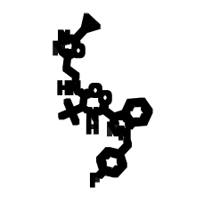 CC(C)(C)[C@H](NC(=O)c1nn(Cc2ccc(F)cc2)c2ccccc12)C(=O)NCCc1nnc(C2CC2)o1